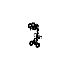 C[C@H](CCC(=O)NC1CC[N+](Cc2ccccc2)(c2ccccc2)CC1)[C@H]1CC[C@H]2[C@@H]3CCC4CCCC[C@]4(C)[C@H]3CC[C@]12C